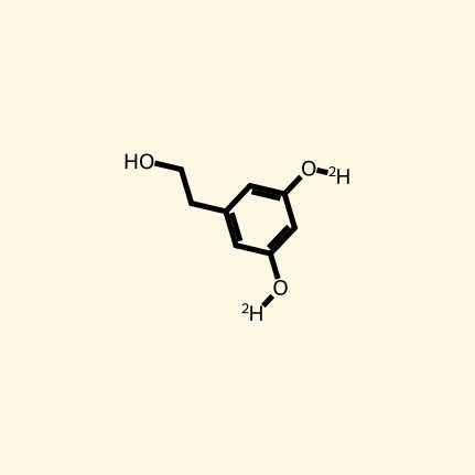 [2H]Oc1cc(CCO)cc(O[2H])c1